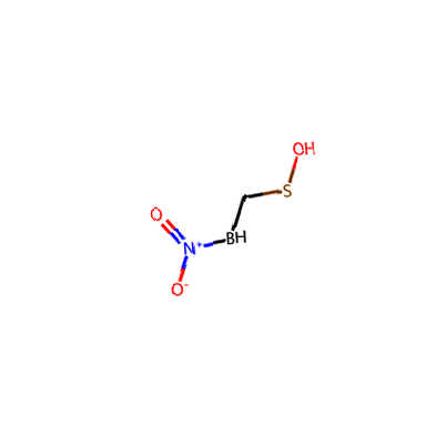 O=[N+]([O-])BCSO